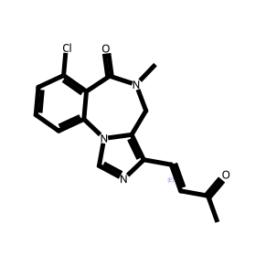 CC(=O)/C=C/c1ncn2c1CN(C)C(=O)c1c(Cl)cccc1-2